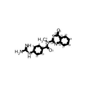 CN(C(=O)c1ccc(NC(=N)N)cc1)c1nc2ccccc2c(=O)s1